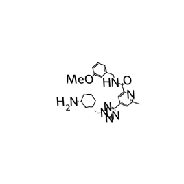 COc1cccc(CNC(=O)c2cc(-c3nnn(C[C@H]4CCC[C@@H](N)C4)n3)cc(C)n2)c1